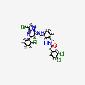 O=C(Cc1ccc(Cl)c(Cl)c1)NCc1cccc(CNc2cc(-c3ccccc3Cl)nc3c(Br)cnn23)c1